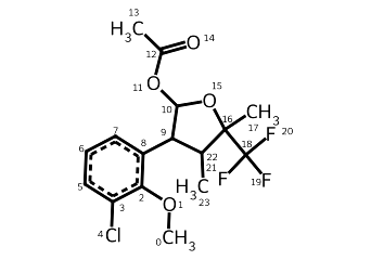 COc1c(Cl)cccc1C1C(OC(C)=O)OC(C)(C(F)(F)F)C1C